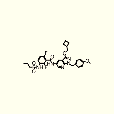 CCCS(=O)(=O)Nc1ccc(F)c(C(=O)Nc2cnc3c(c2)c(OCC2CCC2)nn3Cc2ccc(OC)cc2)c1F